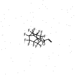 C=CC(=O)OC1(F)C2(F)C(F)(F)C3(F)C(F)(F)C(F)(C2(F)F)C(F)(F)C1(F)C3(F)F